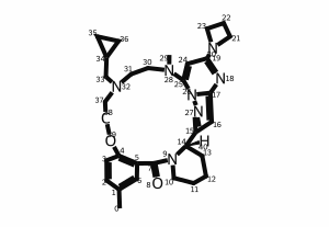 Cc1ccc2c(c1)C(=O)N1CCCC[C@H]1c1cc3nc(N4CCC4)cc(n3n1)N(C)CCN(CC1CC1)CCO2